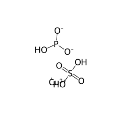 O=S(=O)(O)O.[Cu+2].[O-]P([O-])O